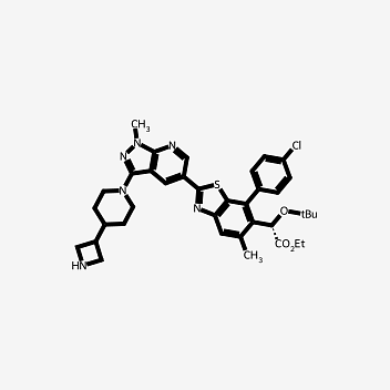 CCOC(=O)[C@@H](OC(C)(C)C)c1c(C)cc2nc(-c3cnc4c(c3)c(N3CCC(C5CNC5)CC3)nn4C)sc2c1-c1ccc(Cl)cc1